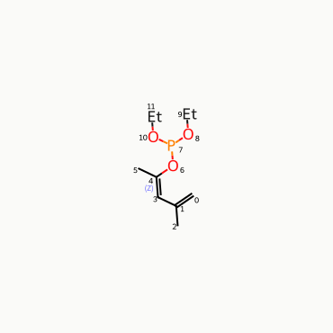 C=C(C)/C=C(/C)OP(OCC)OCC